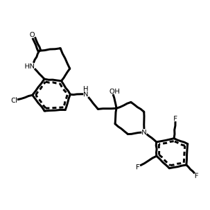 O=C1CCc2c(NCC3(O)CCN(c4c(F)cc(F)cc4F)CC3)ccc(Cl)c2N1